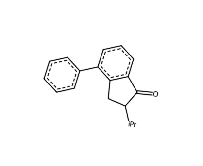 CC(C)C1Cc2c(cccc2-c2ccccc2)C1=O